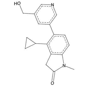 CN1C(=O)Cc2c1ccc(-c1cncc(CO)c1)c2C1CC1